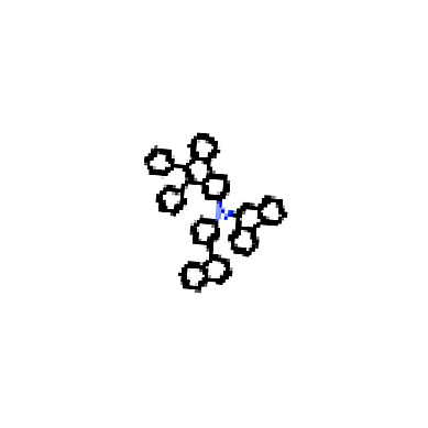 c1ccc(-c2c(-c3ccccc3)c3cc(N(c4cccc(-c5cccc6ccccc56)c4)c4cc5ccccc5c5ccccc45)ccc3c3ccccc23)cc1